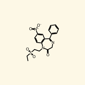 CCS(=O)(=O)CCN1C(=O)CN=C(c2ccccc2)c2cc([N+](=O)[O-])ccc21